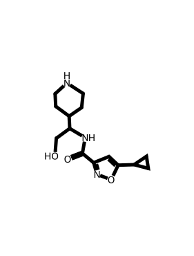 O=C(NC(CO)C1CCNCC1)c1cc(C2CC2)on1